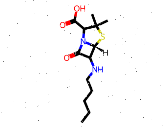 CCCCCNC1C(=O)N2C(C(=O)O)C(C)(C)S[C@H]12